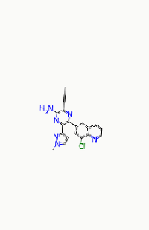 CC#Cc1nc(-c2cc(Cl)c3ncccc3c2)c(-c2ccn(C)n2)nc1N